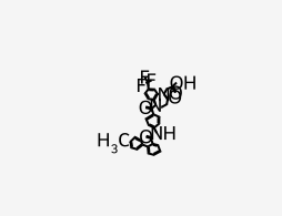 Cc1ccc(-c2ccccc2C(=O)Nc2ccc(C(=O)N3CCC(=O)N(CC(=O)O)c4cc(C(F)(F)F)ccc43)cc2)cc1